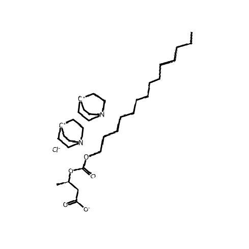 C1CN2CC[C+]1CC2.C1CN2CC[C+]1CC2.CCCCCCCCCCCCCCOC(=O)O[C@H](C)CC(=O)[O-].[Cl-]